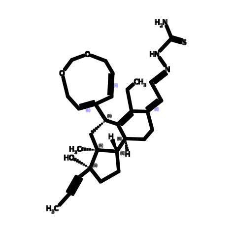 CC#C[C@]1(O)CC[C@H]2[C@@H]3CC/C(=C/C=NNC(N)=S)C(CC)=C3[C@@H](C3=C/COCOC/C=C\3)C[C@@]21C